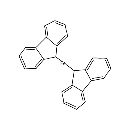 c1ccc2c(c1)-c1ccccc1[CH]2[Fe][CH]1c2ccccc2-c2ccccc21